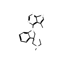 CCN1CC[C@@]2(C1)CN(c1ncnc3[nH]cc(Cl)c13)c1ccccc12